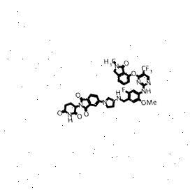 COc1cc(CN[C@@H]2CCN(c3ccc4c(c3)C(=O)N(C3CCC(=O)NC3=O)C4=O)C2)c(F)cc1Nc1ncc(C(F)(F)F)c(Oc2cccc3c2C(=O)N(C)C3)n1